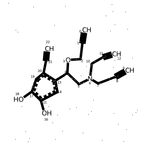 C#CCOC(CN(CC#C)CC#C)c1cc(O)c(O)cc1C#C